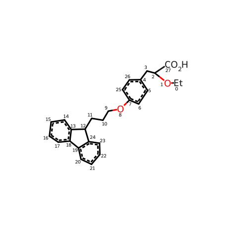 CCOC(Cc1ccc(OCCCC2c3ccccc3-c3ccccc32)cc1)C(=O)O